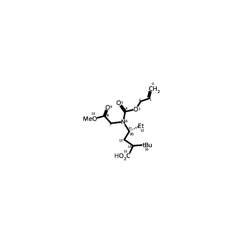 C=CCOC(=O)N(CC(=O)OC)[C@H](CC)CC(C(=O)O)C(C)(C)C